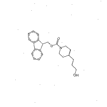 O=C(OCC1c2ccccc2-c2ccccc21)N1CCC(CCCO)CC1